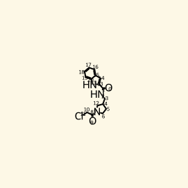 O=C(NCC1CCN(C(=O)CCl)C1)c1cc2ccccc2[nH]1